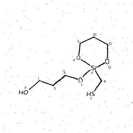 OCCCO[Si]1(CS)OCCCO1